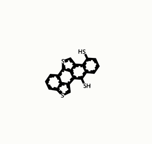 Sc1cccc2c(S)c3c4csc5cccc(c6scc(c12)c63)c54